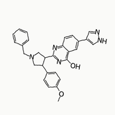 COc1ccc(C2CN(Cc3ccccc3)CC2c2nc(O)c3cc(-c4cn[nH]c4)ccc3n2)cc1